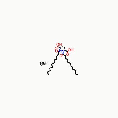 CCCCCCCCCCCC(=O)N([C@@H](C)C(=O)O)N(C(=O)CCCCCCCCCCC)[C@@H](C)C(=O)O.[Na].[Na]